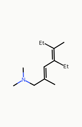 CC/C(C)=C(\C=C(/C)CN(C)C)CC